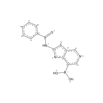 O=C(Nc1nc2c(B(O)O)cncc2s1)c1ccccc1